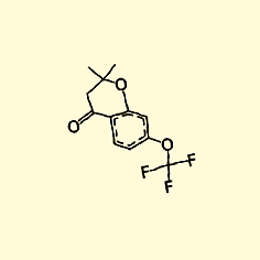 CC1(C)CC(=O)c2ccc(OC(F)(F)F)cc2O1